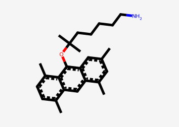 Cc1cc(C)c2cc3c(C)ccc(C)c3c(OC(C)(C)CCCCCN)c2c1